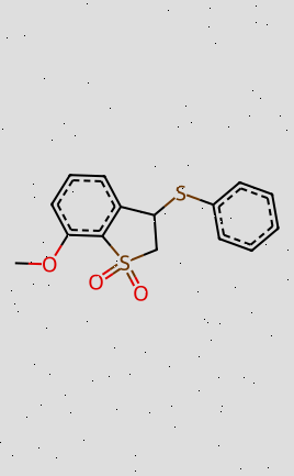 COc1cccc2c1S(=O)(=O)CC2Sc1ccccc1